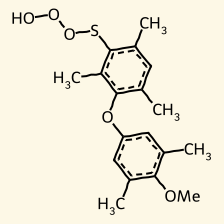 COc1c(C)cc(Oc2c(C)cc(C)c(SOOO)c2C)cc1C